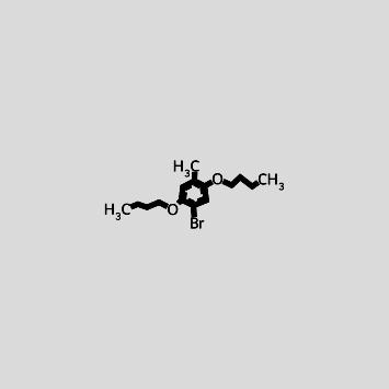 CCCCOc1cc(Br)c(OCCCC)cc1C